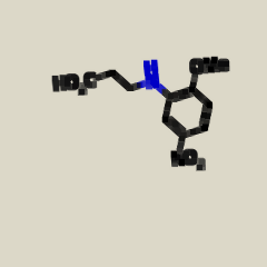 COc1ccc([N+](=O)[O-])cc1NCCC(=O)O